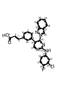 O=C(O)/C=C/c1cccc(-c2cnc(Nc3ccc(F)c(Cl)c3)nc2-n2cc3ccccc3n2)c1